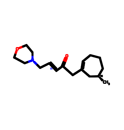 C[C@@H]1CCCC=C(CC(=O)/C=C/CN2CCOCC2)C1